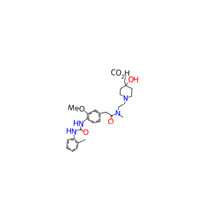 COc1cc(CC(=O)N(C)CCN2CCC(O)(CC(=O)O)CC2)ccc1NC(=O)Nc1ccccc1C